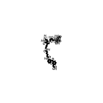 Nc1cc2c(c(=O)[nH]1)C(C#CCNC(=O)CCCCC(=O)Nc1ccc3oc4c(CC(=O)O)cccc4c(=O)c3c1)CN2C1CC(O)C(COP(=O)(O)OP(=O)(O)OP(=O)(O)O)O1